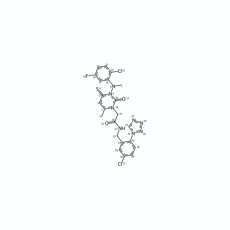 Cc1cc(=S)n(N(C)c2cc(F)ccc2Cl)c(=O)n1CC(=O)NCc1cc(Cl)ccc1-n1cnnn1